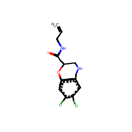 C=CCNC(=O)C1CNc2cc(Cl)c(Cl)cc2O1